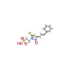 O=C1C(=CC=Cc2ccccc2)SC(=S)N1CCS(=O)(=O)O